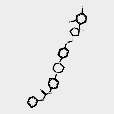 C[C@]1(c2ccc(F)cc2F)C[C@H](COc2ccc(N3CCN(c4ccc(NC(=O)Oc5ccccc5)cc4)CC3)cc2)CO1